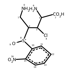 NCC(C(Cl)C(N)C(=O)O)[S+]([O-])c1ccccc1[N+](=O)[O-]